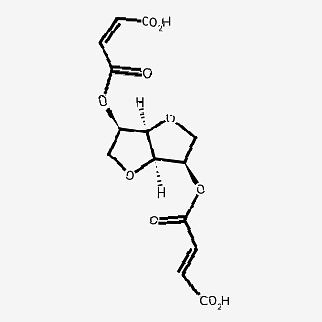 O=C(O)/C=C\C(=O)O[C@@H]1CO[C@H]2[C@@H]1OC[C@H]2OC(=O)/C=C/C(=O)O